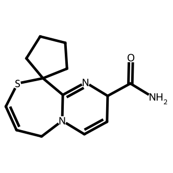 NC(=O)C1C=CN2CC=CSC3(CCCC3)C2=N1